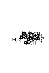 C#C[n+]1ccccc1-c1cc2c(C=C)c(C(C)[C@H](C/C=C\C)C(C)C)[nH]c2cc1CC1C(C)C2=C(C=CCC=C2)c2ccc(C)c[n+]21